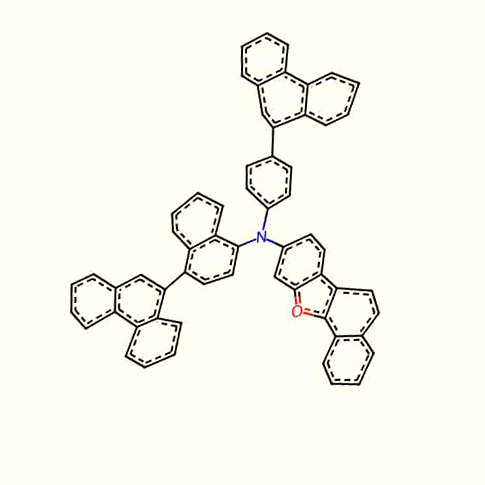 c1ccc2c(c1)cc(-c1ccc(N(c3ccc4c(c3)oc3c5ccccc5ccc43)c3ccc(-c4cc5ccccc5c5ccccc45)c4ccccc34)cc1)c1ccccc12